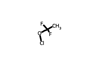 CC(F)(F)OCl